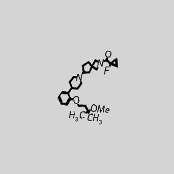 COC(C)(C)CCOc1ccccc1C1CCN(C2CCC3(C2)CN(C(=O)C2(F)CC2)C3)CC1